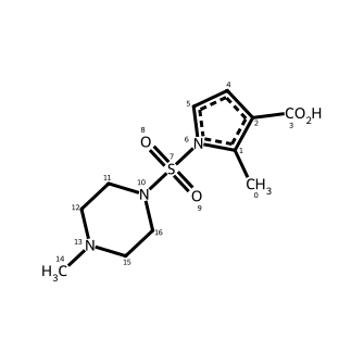 Cc1c(C(=O)O)ccn1S(=O)(=O)N1CCN(C)CC1